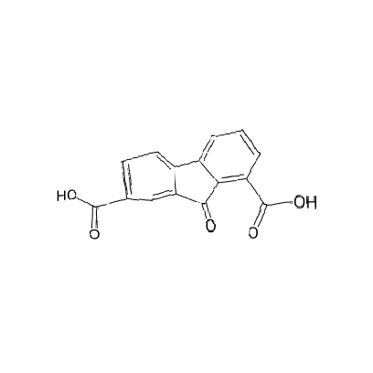 O=C(O)c1ccc2c(c1)C(=O)c1c(C(=O)O)cccc1-2